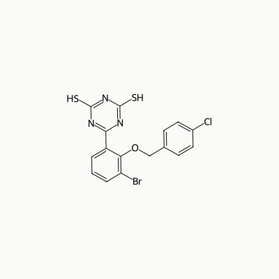 Sc1nc(S)nc(-c2cccc(Br)c2OCc2ccc(Cl)cc2)n1